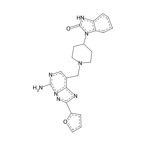 Nc1ncc(CN2CCC(n3c(=O)[nH]c4ccccc43)CC2)c2nc(-c3ccco3)nn12